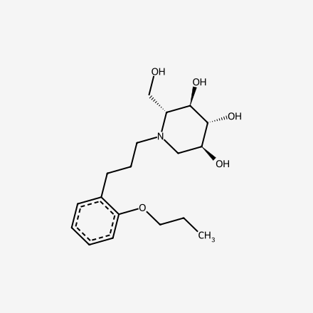 CCCOc1ccccc1CCCN1C[C@H](O)[C@@H](O)[C@H](O)[C@H]1CO